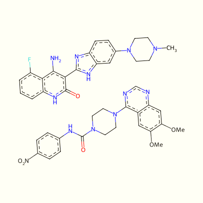 CN1CCN(c2ccc3nc(-c4c(N)c5c(F)cccc5[nH]c4=O)[nH]c3c2)CC1.COc1cc2ncnc(N3CCN(C(=O)Nc4ccc([N+](=O)[O-])cc4)CC3)c2cc1OC